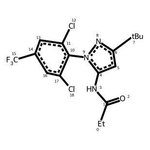 CCC(=O)Nc1cc(C(C)(C)C)nn1-c1c(Cl)cc(C(F)(F)F)cc1Cl